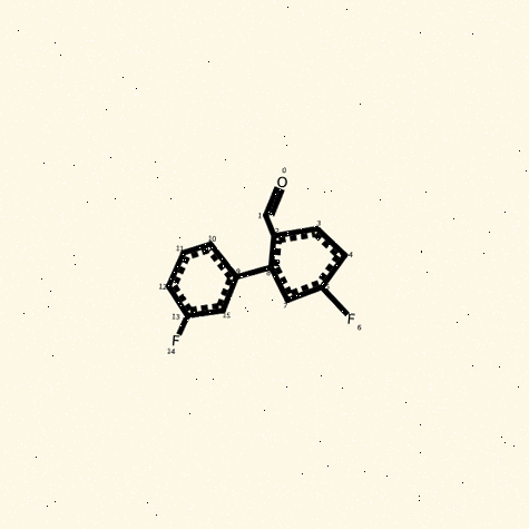 O=Cc1ccc(F)cc1-c1cccc(F)c1